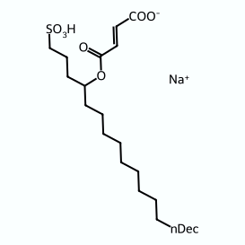 CCCCCCCCCCCCCCCCCCCC(CCCS(=O)(=O)O)OC(=O)C=CC(=O)[O-].[Na+]